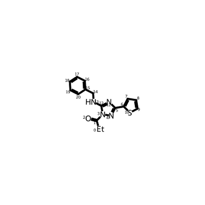 CCC(=O)n1nc(-c2cccs2)nc1NCc1ccccc1